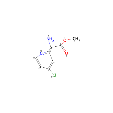 COC(=O)C(N)c1cc(Cl)ccn1